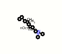 CCCCCCCCC1(CCCCCCCC)c2cc(-c3ccc4c(c3)nc(-c3ccccc3)n4-c3ccccc3)ccc2-c2cc3c(cc21)-c1ccc(-c2cccc4ccccc24)cc1C3(C)C